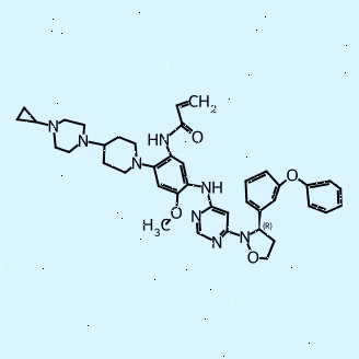 C=CC(=O)Nc1cc(Nc2cc(N3OCC[C@@H]3c3cccc(Oc4ccccc4)c3)ncn2)c(OC)cc1N1CCC(N2CCN(C3CC3)CC2)CC1